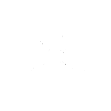 Cc1cn(C)nc1N.Cl